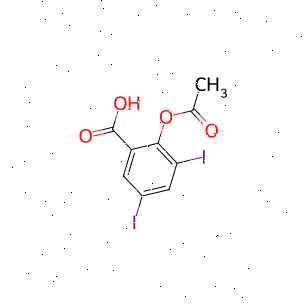 CC(=O)Oc1c(I)cc(I)cc1C(=O)O